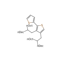 CCCCCCCCCCC(CCCCCCCC)Cc1csc(-c2cccs2)c1CC(CCCCCCCC)CCCCCCCCCC